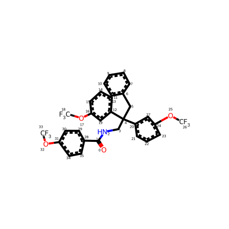 O=C(NCC(Cc1ccccc1)(c1cccc(OC(F)(F)F)c1)c1cccc(OC(F)(F)F)c1)c1ccc(OC(F)(F)F)cc1